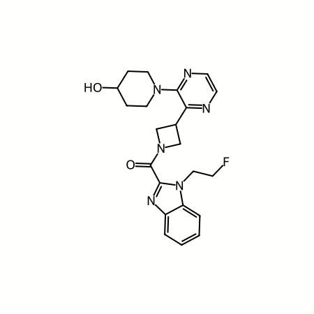 O=C(c1nc2ccccc2n1CCF)N1CC(c2nccnc2N2CCC(O)CC2)C1